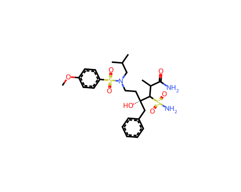 COc1ccc(S(=O)(=O)N(CC[C@](O)(Cc2ccccc2)C(C(C)C(N)=O)S(N)(=O)=O)CC(C)C)cc1